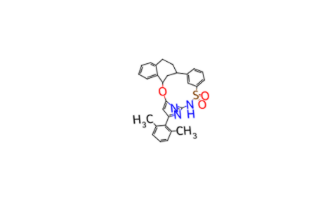 Cc1cccc(C)c1-c1cc2nc(n1)NS(=O)(=O)c1cccc(c1)C1CCc3ccccc3C(C1)O2